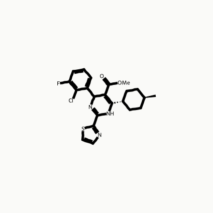 COC(=O)C1=C([C@H]2CC[C@H](C)CC2)NC(c2nccs2)=NC1c1cccc(F)c1Cl